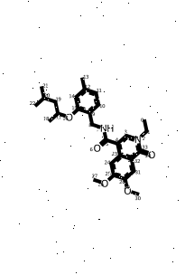 CCn1cc(C(=O)NCc2ccc(C)cc2OC(C)CC(C)C)c2cc(OC)c(OC)cc2c1=O